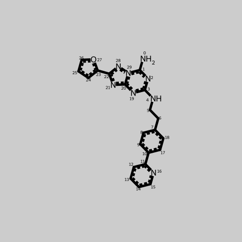 Nc1nc(NCCc2ccc(-c3ccccn3)cc2)nc2nc(-c3ccco3)nn12